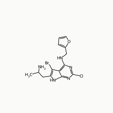 CC(N)Cc1[nH]c2nc(Cl)nc(NCc3ccco3)c2c1Br